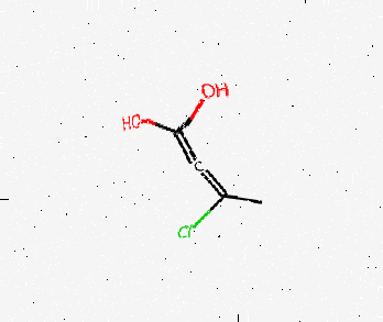 CC(Cl)=C=C(O)O